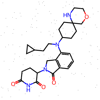 O=C1CCC(N2Cc3c(cccc3N(CCC3CC3)C3CCC4(CC3)COCCN4)C2=O)C(=O)N1